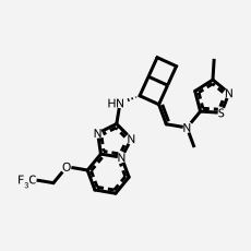 Cc1cc(N(C)/C=C2\C3CCC3[C@H]2Nc2nc3c(OCC(F)(F)F)cccn3n2)sn1